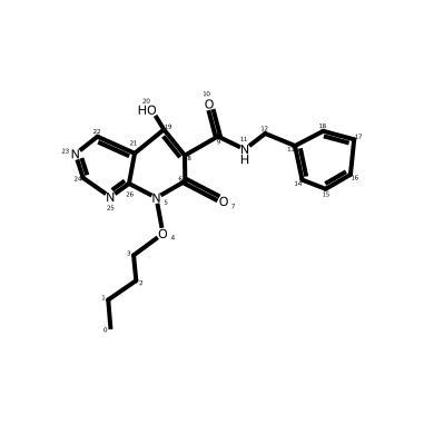 CCCCOn1c(=O)c(C(=O)NCc2ccccc2)c(O)c2cncnc21